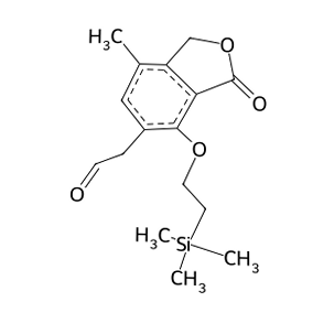 Cc1cc(CC=O)c(OCC[Si](C)(C)C)c2c1COC2=O